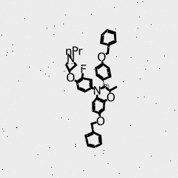 CCCN1CC(Oc2ccc(N3c4ccc(OCc5ccccc5)cc4OC(C)[C@H]3c3ccc(OCc4ccccc4)cc3)cc2F)C1